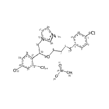 Clc1ccc(SCCCOC(Cn2ccnc2)c2ccc(Cl)cc2Cl)cc1.O=[N+]([O-])O